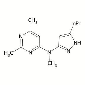 CCCc1cc(N(C)c2cc(C)nc(C)n2)n[nH]1